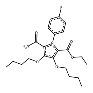 CCCCOc1c(OCCCC)c(C(=O)OCC)n(-c2ccc(F)cc2)c1C(N)=O